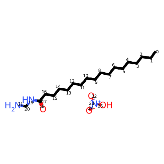 CCCCCCCCCCCCCCCCCC(=O)NCN.O=[N+]([O-])O